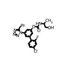 CC(CO)NC(=O)Oc1cc(-c2ccc(Cl)cc2F)cc(-n2nnnc2C(C)C)c1